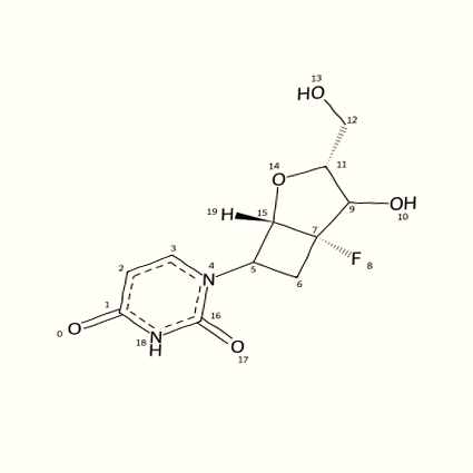 O=c1ccn(C2C[C@]3(F)C(O)[C@@H](CO)O[C@@H]23)c(=O)[nH]1